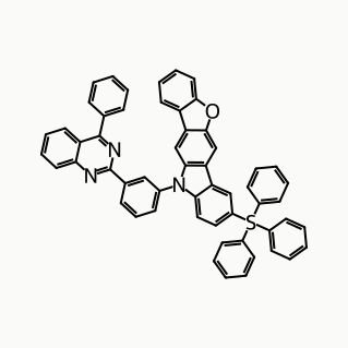 c1ccc(-c2nc(-c3cccc(-n4c5ccc(S(c6ccccc6)(c6ccccc6)c6ccccc6)cc5c5cc6oc7ccccc7c6cc54)c3)nc3ccccc23)cc1